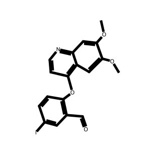 COc1cc2nccc(Oc3ccc(I)cc3C=O)c2cc1OC